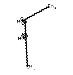 CCCCCCCCCCCCCCCCCCCCCC(OC(=O)CCCCCCCC(=O)OC(CCCCCCCCCCCCCCCCCCCCC)C(=O)O)C(=O)O